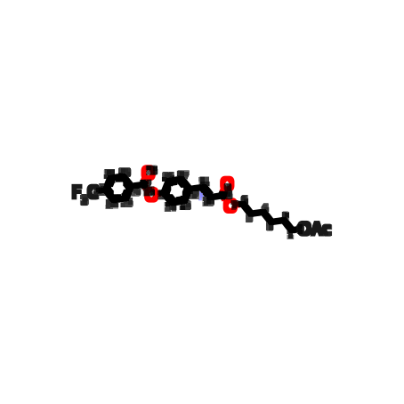 CC(=O)OCCCCCCOC(=O)/C=C/c1ccc(OC(=O)c2ccc(C(F)(F)F)cc2)cc1